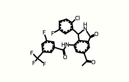 CC(=O)c1cc(NC(=O)c2cc(F)cc(C(F)(F)F)c2)c2c(c1)C(=O)NC2c1cc(F)ccc1Cl